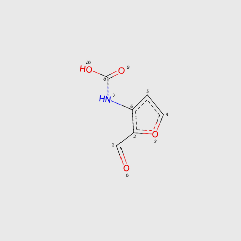 O=Cc1occc1NC(=O)O